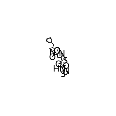 COc1nc2csc(C(=O)C(=O)Nc3nccs3)c2cc1C(=O)N1CCC(Cc2ccccc2)C1